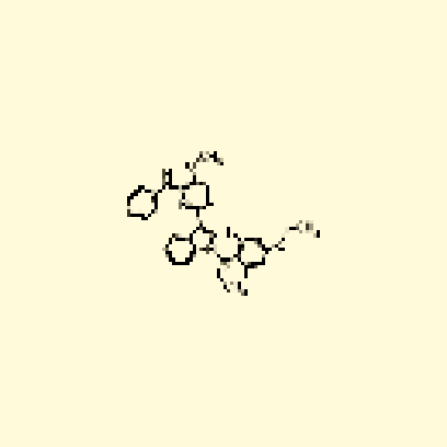 CCOc1cc(F)c([C@@H](CC)n2nc(-c3ncc(OC)c(Nc4ccncc4)n3)c3ccccc32)c(F)c1